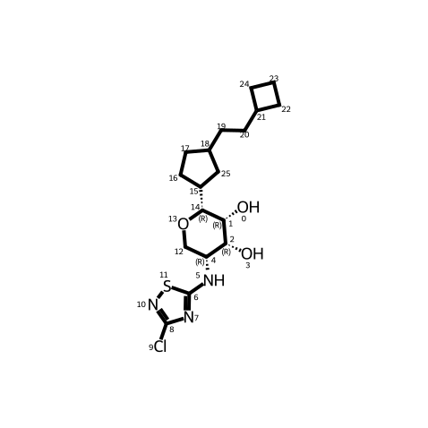 O[C@@H]1[C@H](O)[C@H](Nc2nc(Cl)ns2)CO[C@@H]1C1CCC(CCC2CCC2)C1